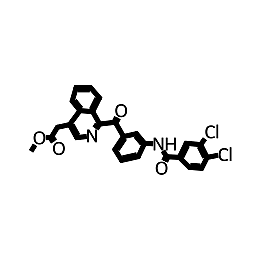 COC(=O)Cc1cnc(C(=O)c2cccc(NC(=O)c3ccc(Cl)c(Cl)c3)c2)c2ccccc12